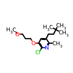 COCCCOc1cc(CCC(C)(C)C)c(C)nc1Cl